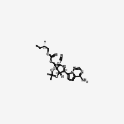 CC[C@H](C)COC(=O)OC1[C@@]2(C#N)O[C@@H](c3ccc4c(N)ncnn34)[C@@H]3OC(C)(C)O[C@@]132